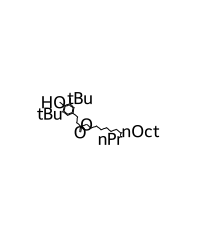 CCCCCCCCC(CCC)CCCCCCOC(=O)CCc1cc(C(C)(C)C)c(O)c(C(C)(C)C)c1